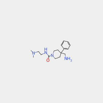 CN(C)CCNC(=O)N1CCC(CN)(c2ccccc2)CC1